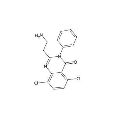 NCCc1nc2c(Cl)ccc(Cl)c2c(=O)n1-c1ccccc1